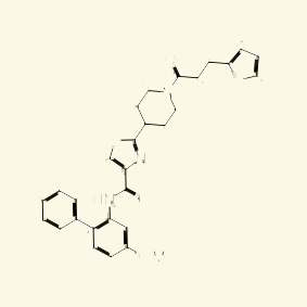 COc1ccc(-c2ccccc2)c(NC(=O)c2csc(C3CCN(C(=O)CCc4ccco4)CC3)n2)c1